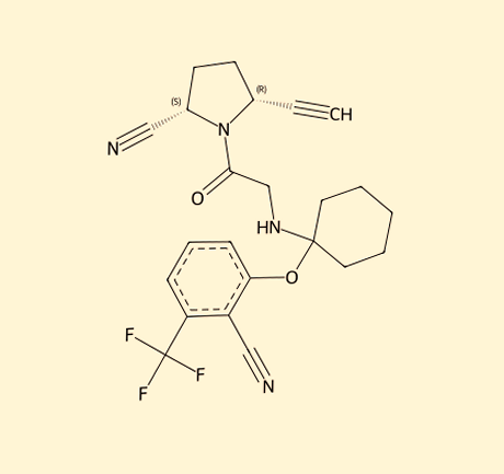 C#C[C@H]1CC[C@@H](C#N)N1C(=O)CNC1(Oc2cccc(C(F)(F)F)c2C#N)CCCCC1